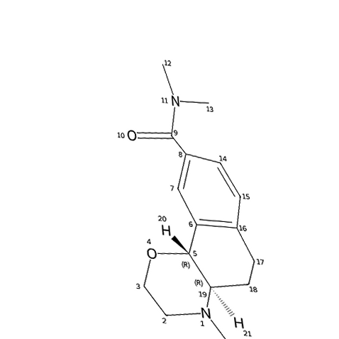 CCCN1CCO[C@@H]2c3cc(C(=O)N(C)C)ccc3CC[C@H]21